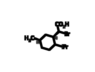 CC(C)C1CC[C@@H](C)C[C@H]1C(Br)C(=O)O